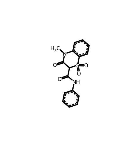 CN1C(=O)C(C(=O)Nc2ccccc2)S(=O)(=O)c2ccccc21